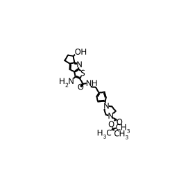 CC(C)(C)OC(=O)N1CCN(c2ccc(CCNC(=O)c3sc4nc5c(cc4c3N)CCC5O)cc2)CC1